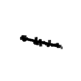 CC(=O)COCCOCCNC(=O)COCCOCCNC(=O)CC[C@H](NC(=O)CCCCCCCCOc1cccc(C(=O)O)c1)C(=O)O